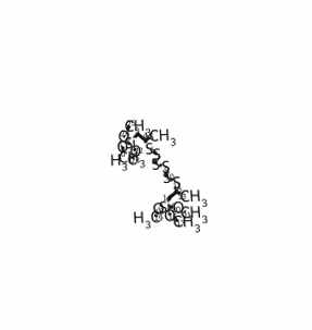 CO[Si](CC(C)SSSSSSC(C)C[Si](OC)(OC)OC)(OC)OC